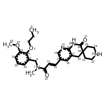 CCCOc1c(CN(C)C(=O)/C=C/c2cnc3c(c2)CC2(CCNCC2)C(=O)N3)cccc1OC